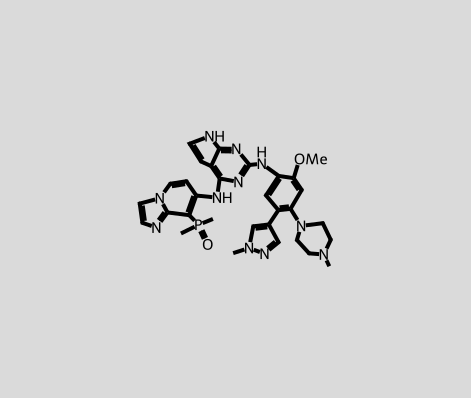 COc1cc(N2CCN(C)CC2)c(-c2cnn(C)c2)cc1Nc1nc(Nc2ccn3ccnc3c2P(C)(C)=O)c2cc[nH]c2n1